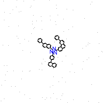 c1ccc(-c2ccc3cc(-c4nc(-c5ccc(-c6cccc7ccccc67)cc5)nc(-c5ccc6ccc7ccc(-c8ccccc8)cc7c6c5)n4)ccc3c2)cc1